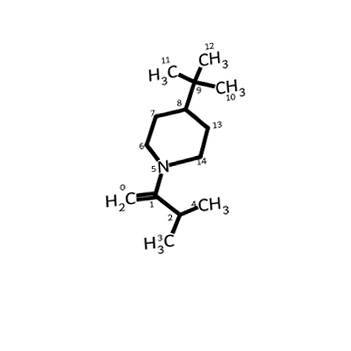 C=C(C(C)C)N1CCC(C(C)(C)C)CC1